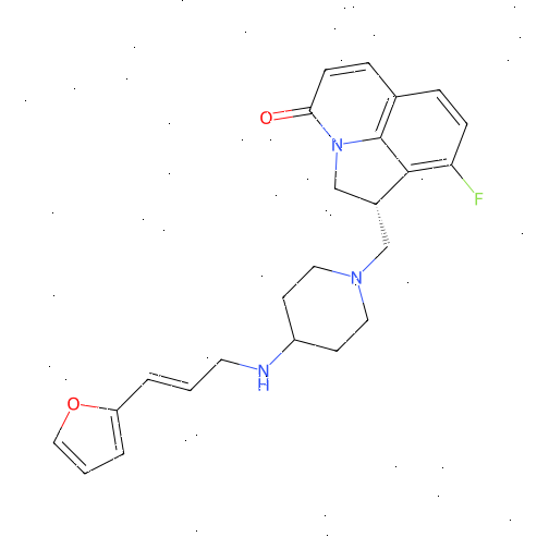 O=c1ccc2ccc(F)c3c2n1C[C@H]3CN1CCC(NC/C=C/c2ccco2)CC1